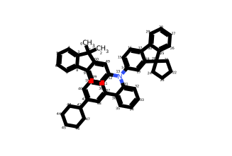 CC1(C)c2ccccc2-c2ccc(N(c3ccc4c(c3)C3(CCCC3)c3ccccc3-4)c3ccccc3-c3cccc(C4CCCCC4)c3)cc21